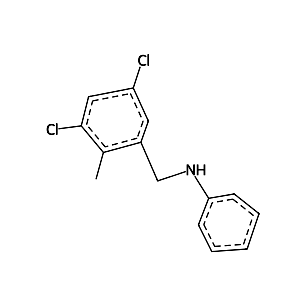 Cc1c(Cl)cc(Cl)cc1CNc1ccccc1